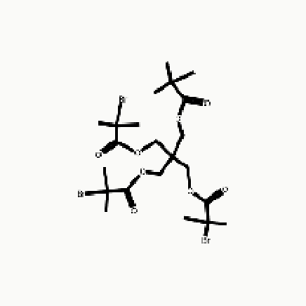 CC(C)(C)C(=O)OCC(COC(=O)C(C)(C)Br)(COC(=O)C(C)(C)Br)COC(=O)C(C)(C)Br